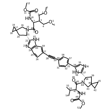 COCC(COC)[C@H](NC(=O)OC)C(=O)N1CC2(CC2)C[C@H]1c1nc2ccc(C#Cc3ccc(-c4cnc([C@@H]5CC6(CC6)CN5C(=O)[C@@H](NC(=O)OC)C(C)C)[nH]4)cc3)cc2[nH]1